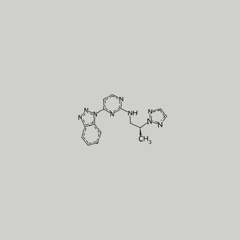 C[C@@H](CNc1nccc(-n2nnc3ccccc32)n1)n1nccn1